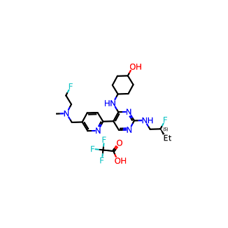 CC[C@H](F)CNc1ncc(-c2ccc(CN(C)CCF)cn2)c(NC2CCC(O)CC2)n1.O=C(O)C(F)(F)F